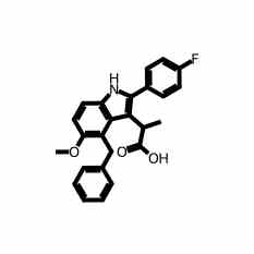 COc1ccc2[nH]c(-c3ccc(F)cc3)c(C(C)C(=O)O)c2c1Cc1ccccc1